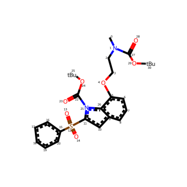 CN(CCOc1cccc2cc(S(=O)(=O)c3ccccc3)n(C(=O)OC(C)(C)C)c12)C(=O)OC(C)(C)C